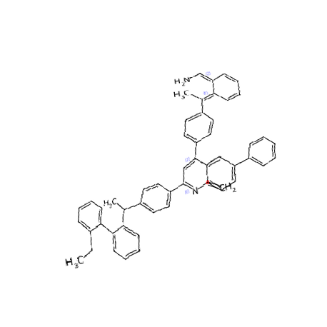 C=C/N=C(\C=C(\c1ccc(/C(C)=c2\cccc\c2=C\N)cc1)c1cccc(-c2ccccc2)c1)c1ccc(C(C)c2ccccc2-c2ccccc2CC)cc1